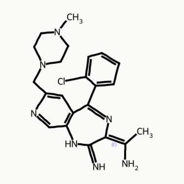 C/C(N)=C1\N=C(c2ccccc2Cl)c2cc(CN3CCN(C)CC3)ncc2NC1=N